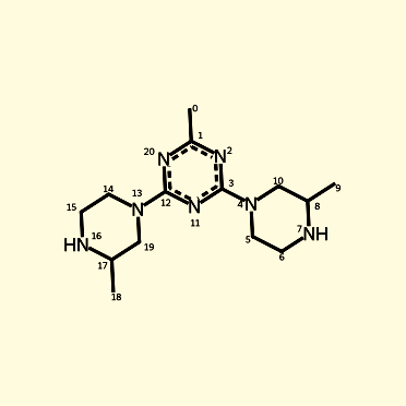 Cc1nc(N2CCNC(C)C2)nc(N2CCNC(C)C2)n1